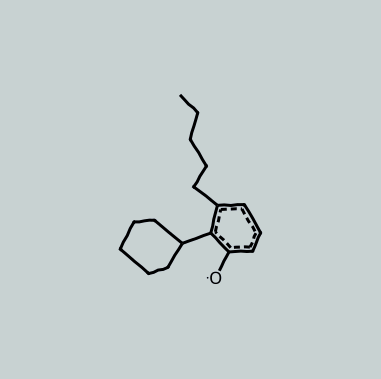 CCCCCc1cccc([O])c1C1CCCCC1